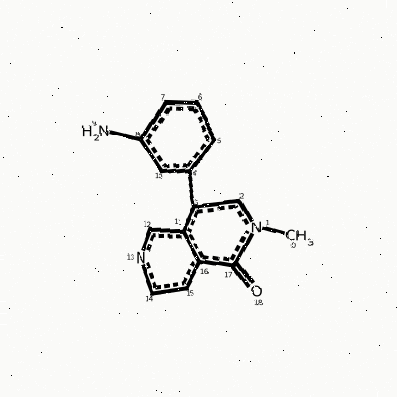 Cn1cc(-c2cccc(N)c2)c2cnccc2c1=O